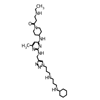 CCNCCC(=O)N1CCC(Nc2cc(C)nc(NCc3cn(CCCNCCCNC4CCCCC4)nn3)n2)CC1